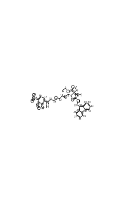 CCOC(=O)C(CC)(CCOCCOCCNc1ccc([N+](=O)[O-])c2nonc12)NC(=O)OCC1c2ccccc2-c2ccccc21